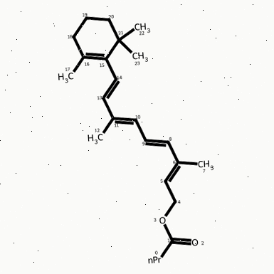 CCCC(=O)OCC=C(C)C=CC=C(C)C=CC1=C(C)CCCC1(C)C